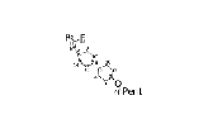 CCCCCO[C@H]1CC[C@H](c2ccc(C=C(F)F)cc2)CC1